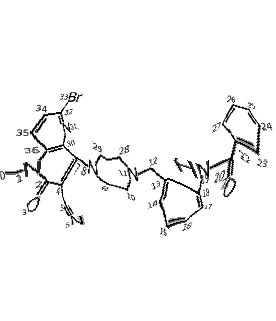 Cn1c(=O)c(C#N)c(N2CCN(Cc3ccccc3NC(=O)c3ccccc3)CC2)c2nc(Br)ccc21